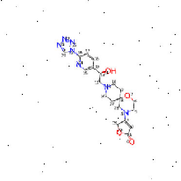 O=C1C=C(N2CCOC3(CCN(C[C@H](O)c4ccc(-n5cnnn5)nc4)CC3)C2)CO1